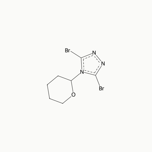 Brc1nnc(Br)n1C1CCCCO1